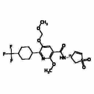 COCOc1cc(C(=O)N[C@@H]2C=CS(=O)(=O)C2)c(OC)nc1C1CCC(C(F)(F)F)CC1